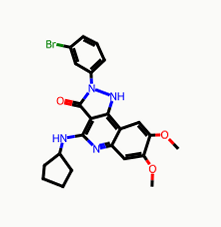 COc1cc2nc(NC3CCCC3)c3c(=O)n(-c4cccc(Br)c4)[nH]c3c2cc1OC